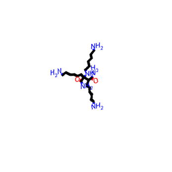 NCCCCCCNC(CCCCCCN)(C(N)=O)C(CCCCCCN)C(N)=O